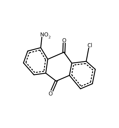 O=C1c2cccc(Cl)c2C(=O)c2c1cccc2[N+](=O)[O-]